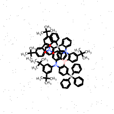 CC(C)(C)c1cc(N2c3ccc([Si](c4ccccc4)(c4ccccc4)c4ccccc4)cc3B3c4ccc(C(C)(C)C)cc4N(c4ccccc4[Si](c4ccccc4)(c4ccccc4)c4ccccc4)c4cc(-n5c6ccc(C(C)(C)C)cc6c6cc(C(C)(C)C)ccc65)cc2c43)cc(C(C)(C)C)c1